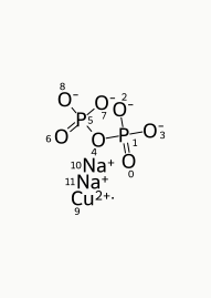 O=P([O-])([O-])OP(=O)([O-])[O-].[Cu+2].[Na+].[Na+]